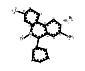 Br.CC[n+]1c(-c2ccccc2)c2cc(N)ccc2c2ccc(N)cc21.[Br-]